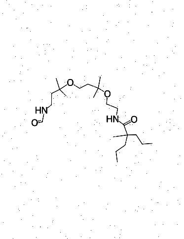 CCCC(C)(CCC)C(=O)NCCOC(C)(C)CCOC(C)(C)CCNC=O